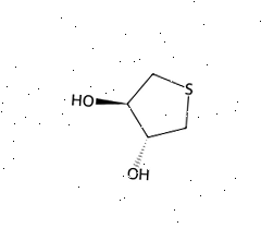 O[C@H]1CSC[C@@H]1O